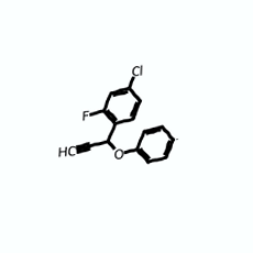 C#CC(Oc1cc[c]cc1)c1ccc(Cl)cc1F